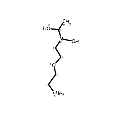 CCCCCCCCOCCN(O)C(C)O